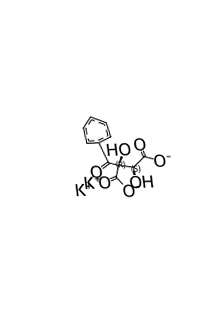 O=C([O-])[C@@H](O)[C@](O)(C(=O)[O-])C(=O)c1ccccc1.[K+].[K+]